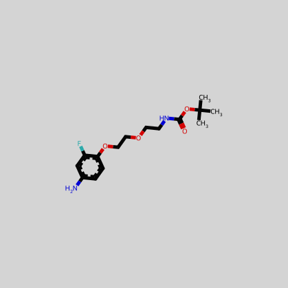 CC(C)(C)OC(=O)NCCOCCOc1ccc(N)cc1F